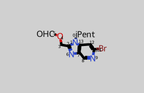 CCCC(C)n1c(COC=O)nc2cnc(Br)cc21